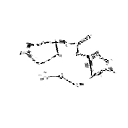 CC(C)(C)OC=O.O=C(NC1CCNCC1)Oc1ccccc1